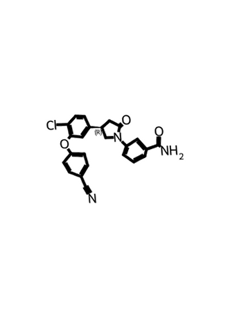 N#Cc1ccc(Oc2cc([C@H]3CC(=O)N(c4cccc(C(N)=O)c4)C3)ccc2Cl)cc1